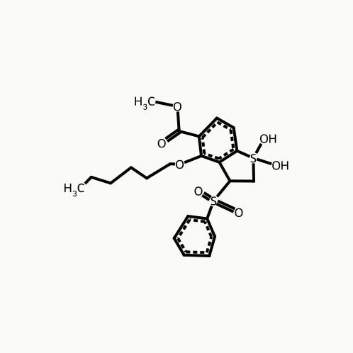 CCCCCCOc1c(C(=O)OC)ccc2c1C(S(=O)(=O)c1ccccc1)CS2(O)O